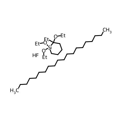 CCCCCCCCCCCCCCCCCCCC.CCOC1(CC)CCCC[Si]1(OCC)OCC.F